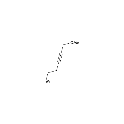 [CH2]CCCCC#CCOC